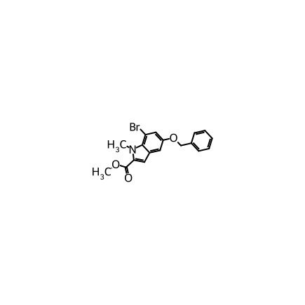 COC(=O)c1cc2cc(OCc3ccccc3)cc(Br)c2n1C